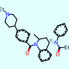 CCC(=O)N(c1ccccc1)[C@H]1CC(C)N(C(=O)c2ccc(C3CCN(CC)CC3)cc2)c2ccccc21